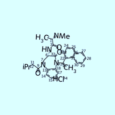 CN[C@@H](C)C(=O)N[C@H]1CN(C(=O)CC(C)C)c2ccccc2N(C(C)c2cccc3ccccc23)C1=O.Cl